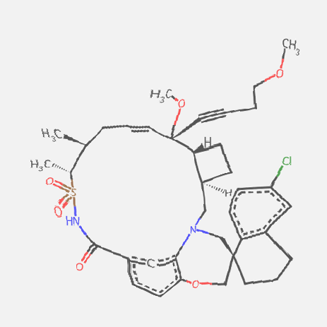 COCCC#C[C@]1(OC)/C=C/C[C@H](C)[C@@H](C)S(=O)(=O)NC(=O)c2ccc3c(c2)N(C[C@@H]2CC[C@H]21)C[C@@]1(CCCc2cc(Cl)ccc21)CO3